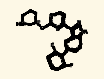 Fc1cccc(F)c1-c1ccc2[nH]nc(-c3ccnc(O[C@@H]4CCCNC4)n3)c2c1